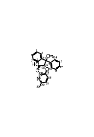 COC(c1ccccc1)(c1ccccc1)[C@H](Oc1ccc(C)nn1)C(=O)O